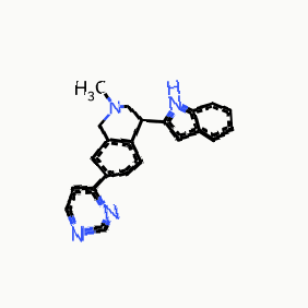 CN1Cc2cc(-c3ccncn3)ccc2C(c2cc3ccccc3[nH]2)C1